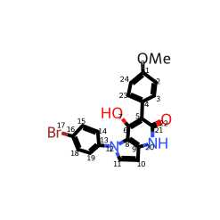 COc1ccc(-c2c(O)c3c(ccn3-c3ccc(Br)cc3)[nH]c2=O)cc1